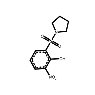 O=[N+]([O-])c1cccc(S(=O)(=O)N2CCCC2)c1O